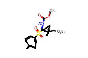 CCOC(=O)C1(C)CC1(NC(=O)OC(C)(C)C)S(=O)(=O)c1ccc(C)cc1